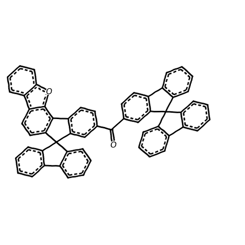 O=C(c1ccc2c(c1)C1(c3ccccc3-c3ccccc31)c1ccccc1-2)c1ccc2c(c1)C1(c3ccccc3-c3ccccc31)c1ccc3c(oc4ccccc43)c1-2